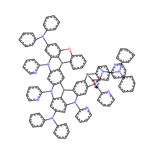 c1ccc(N(c2ccccc2)c2cc3c4c(c2)N(c2ccccn2)c2cc5c(cc2B4c2ccccc2O3)B2c3cc4c(cc3N(c3ccccn3)c3cc(N(c6ccccc6)c6ccccc6)cc(c32)N5c2ccccn2)N(c2ccccn2)c2cc(N(c3ccccc3)c3ccccc3)cc3c2B4c2ccccc2N3c2ccccn2)cc1